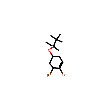 CC(C)(C)[Si](C)(C)OC1CC=C(Br)C(Br)C1